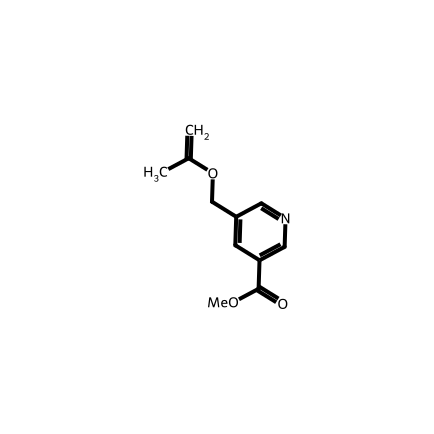 C=C(C)OCc1cncc(C(=O)OC)c1